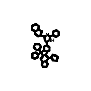 C1=C(c2ccc3ccccc3c2)N=C(c2ccccc2)NC1c1ccc2c(c1)C(c1ccccc1)(c1ccccc1)c1cc3ccccc3c(-c3ccccc3)c1-2